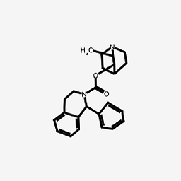 CC1C(OC(=O)N2CCc3ccccc3C2c2ccccc2)C2CCN1CC2